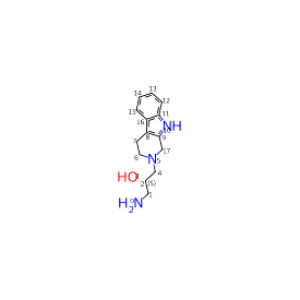 NC[C@H](O)CN1CCc2c([nH]c3ccccc23)C1